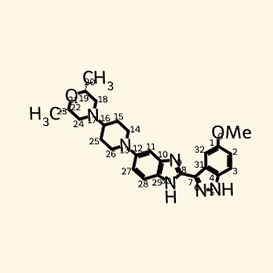 COc1ccc2[nH]nc(-c3nc4cc(N5CCC(N6C[C@@H](C)O[C@@H](C)C6)CC5)ccc4[nH]3)c2c1